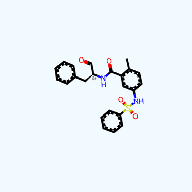 Cc1ccc(NS(=O)(=O)c2ccccc2)cc1C(=O)N[C@H](C=O)Cc1ccccc1